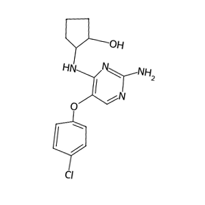 Nc1ncc(Oc2ccc(Cl)cc2)c(NC2CCCC2O)n1